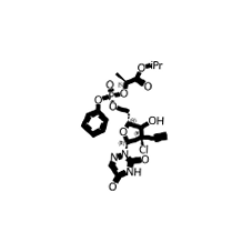 C#C[C@@]1(Cl)C(O)[C@@H](CO[P@](=O)(Oc2ccccc2)O[C@@H](C)C(=O)OC(C)C)O[C@H]1n1ncc(=O)[nH]c1=O